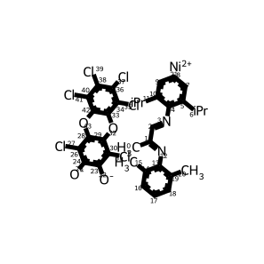 CC(C=Nc1c(C(C)C)cccc1C(C)C)=Nc1c(C)cccc1C.[Ni+2].[O-]c1c([O-])c(Cl)c2c(c1Cl)Oc1c(Cl)c(Cl)c(Cl)c(Cl)c1O2